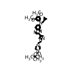 COc1cc(OC)cc(N(CC2CC2)c2ccc3ncc(-c4cnn(CCN5CCN(C(=O)OC(C)(C)C)CC5)c4)nc3c2)c1